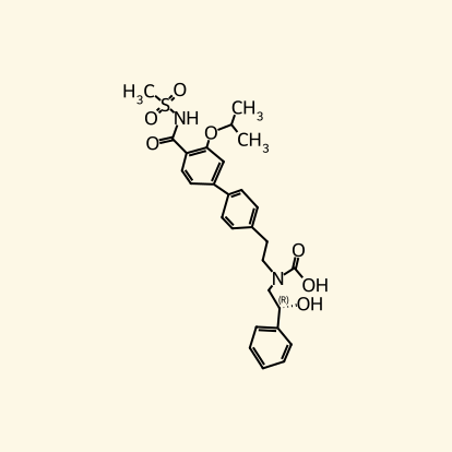 CC(C)Oc1cc(-c2ccc(CCN(C[C@H](O)c3ccccc3)C(=O)O)cc2)ccc1C(=O)NS(C)(=O)=O